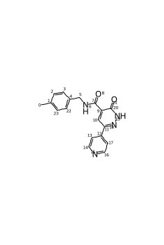 Cc1ccc(CNC(=O)c2cc(-c3ccncc3)n[nH]c2=O)cc1